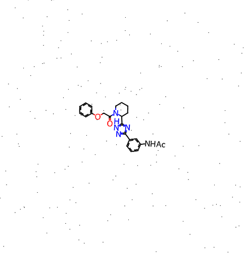 CC(=O)Nc1cccc(-c2n[nH]c(C3CCCCN3C(=O)COc3ccccc3)n2)c1